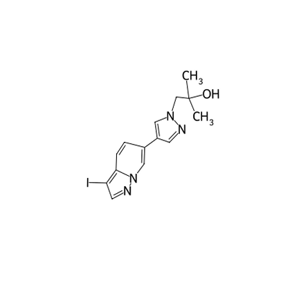 CC(C)(O)Cn1cc(-c2ccc3c(I)cnn3c2)cn1